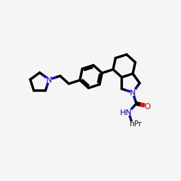 CCCNC(=O)N1CC2CCCC(c3ccc(CCN4CCCC4)cc3)C2C1